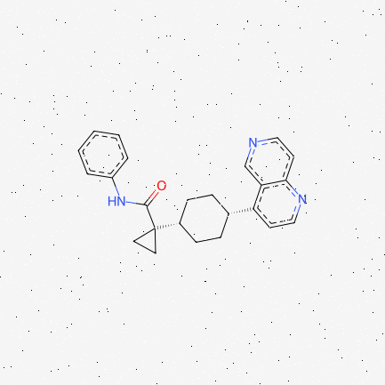 O=C(Nc1ccccc1)C1([C@H]2CC[C@@H](c3ccnc4ccncc43)CC2)CC1